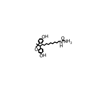 CC1(c2ccc(O)cc2)COc2cc(O)ccc2C1CCCCCCCCCNC(N)=O